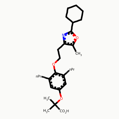 CCCc1cc(OC(C)(C)C(=O)O)cc(CCC)c1OCCc1nc(C2CCCCC2)oc1C